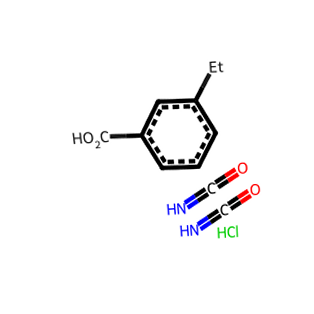 CCc1cccc(C(=O)O)c1.Cl.N=C=O.N=C=O